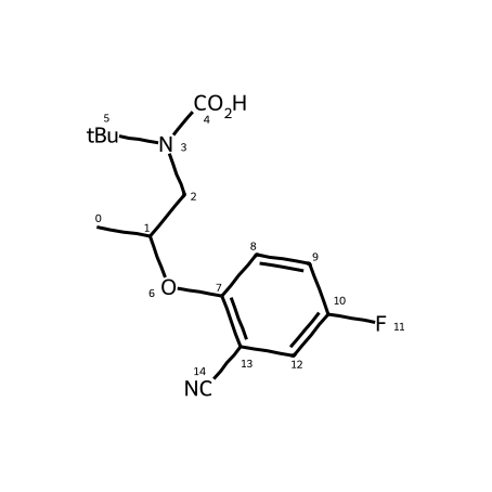 CC(CN(C(=O)O)C(C)(C)C)Oc1ccc(F)cc1C#N